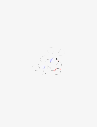 C=N/C(=C(/c1ccccc1)N(Cc1ccccc1Cl)C(/N=C(\C(=N)c1ccccc1)c1ccccc1)c1ccccc1Cl)c1ccccc1